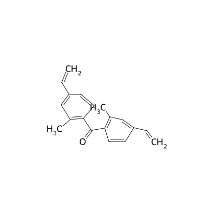 C=Cc1ccc(C(=O)c2ccc(C=C)cc2C)c(C)c1